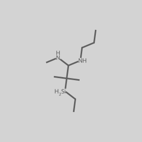 CCCNC(NC)C(C)(C)[SiH2]CC